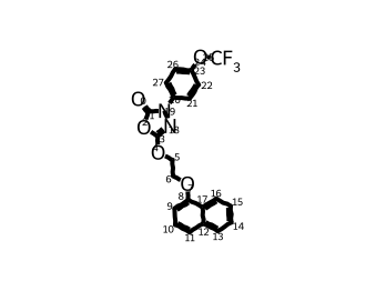 O=c1oc(OCCOc2cccc3ccccc23)nn1-c1ccc(OC(F)(F)F)cc1